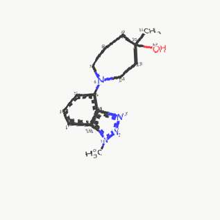 Cn1nnc2c(N3CCCC(C)(O)CC3)cccc21